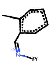 Cc1ccccc1/C=N\C(C)C